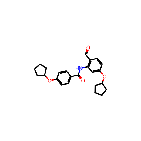 O=Cc1ccc(OC2CCCC2)cc1NC(=O)c1ccc(OC2CCCC2)cc1